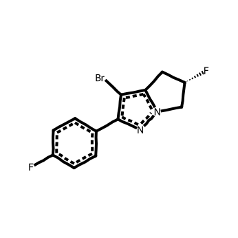 Fc1ccc(-c2nn3c(c2Br)C[C@H](F)C3)cc1